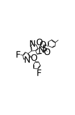 Cc1ccc(S(=O)(=O)n2ccc3c(-c4cc(F)cnc4Oc4ccc(F)cc4)cn(C)c(=O)c32)cc1